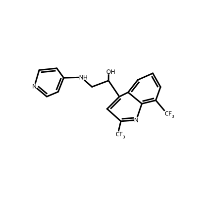 OC(CNc1ccncc1)c1cc(C(F)(F)F)nc2c(C(F)(F)F)cccc12